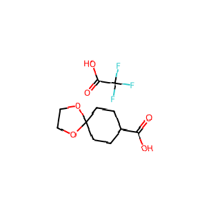 O=C(O)C(F)(F)F.O=C(O)C1CCC2(CC1)OCCO2